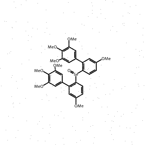 COc1ccc([Se](=O)c2ccc(OC)cc2-c2cc(OC)c(OC)c(OC)c2)c(-c2cc(OC)c(OC)c(OC)c2)c1